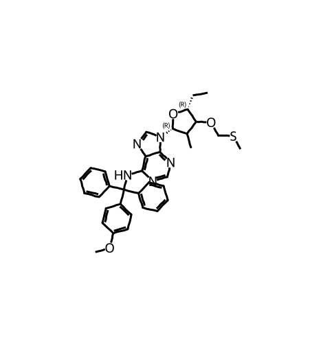 CC[C@H]1O[C@@H](n2cnc3c(NC(c4ccccc4)(c4ccccc4)c4ccc(OC)cc4)ncnc32)C(C)C1OCSC